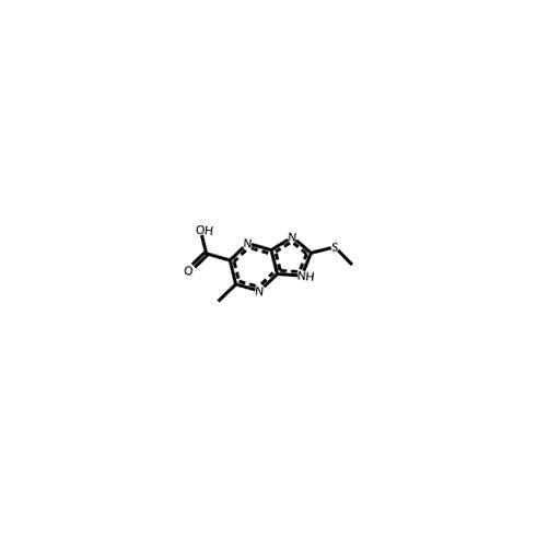 CSc1nc2nc(C(=O)O)c(C)nc2[nH]1